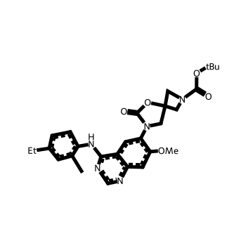 CCc1ccc(Nc2ncnc3cc(OC)c(N4CC5(CN(C(=O)OC(C)(C)C)C5)OC4=O)cc23)c(C)c1